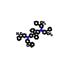 Cc1ccc(N(c2ccc(C(c3ccccc3)(c3ccccc3)c3ccc(N(c4ccc(C)c(-c5ccccc5)c4)c4ccc(C)c(-c5ccccc5)c4)cc3)cc2)c2ccc(C)c(-c3ccccc3)c2)cc1-c1ccccc1